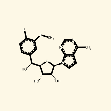 COc1cc([C@@H](O)[C@H]2O[C@@H](n3ccc4c(C)ncnc43)[C@H](O)[C@@H]2O)ccc1F